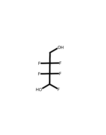 OCC(F)(F)C(F)(F)C(O)F